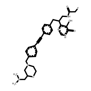 CN(C)CC1CN(Cc2ccc(C#Cc3ccc(CC(CNC(=O)CF)c4nc[nH]c(=O)c4O)cc3)cc2)CCO1